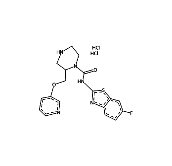 Cl.Cl.O=C(Nc1nc2ccc(F)cc2s1)N1CCNCC1COc1cccnc1